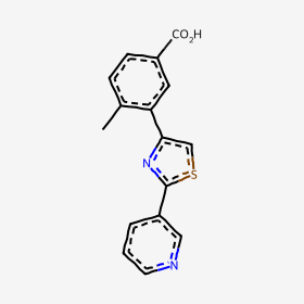 Cc1ccc(C(=O)O)cc1-c1csc(-c2cccnc2)n1